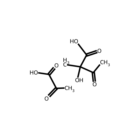 CC(=O)C(=O)O.CC(=O)C(C)(O)C(=O)O